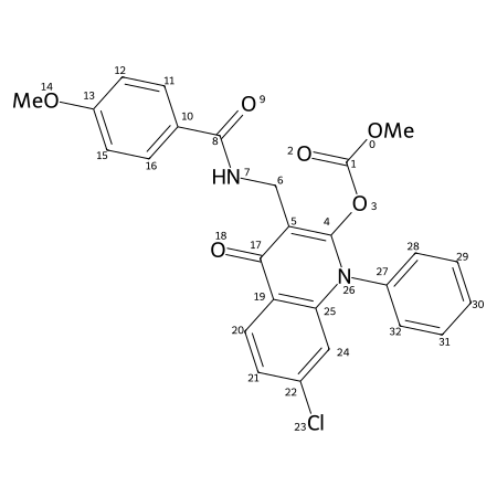 COC(=O)Oc1c(CNC(=O)c2ccc(OC)cc2)c(=O)c2ccc(Cl)cc2n1-c1ccccc1